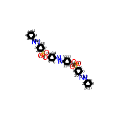 O=S(=O)(Oc1ccc(/N=N/c2ccc(OS(=O)(=O)c3ccc(/N=N/c4ccccc4)cc3)cc2)cc1)c1ccc(/N=N/c2ccccc2)cc1